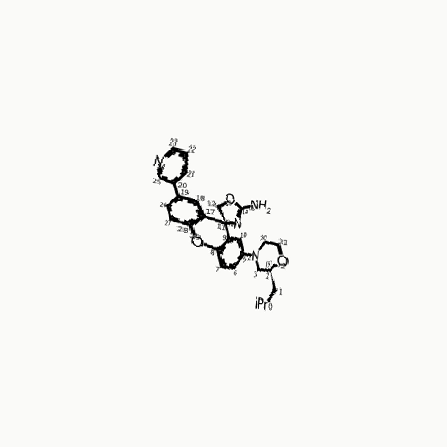 CC(C)C[C@H]1CN(c2ccc3c(c2)[C@]2(COC(N)=N2)c2cc(-c4cccnc4)ccc2O3)CCO1